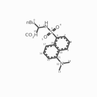 CCCCC(NS(=O)(=O)c1cccc2c(N(C)C)cccc12)C(=O)O